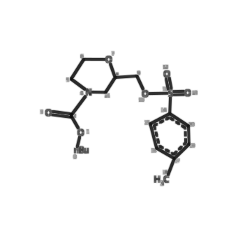 CCCCOC(=O)N1CCOC(COS(=O)(=O)c2ccc(C)cc2)C1